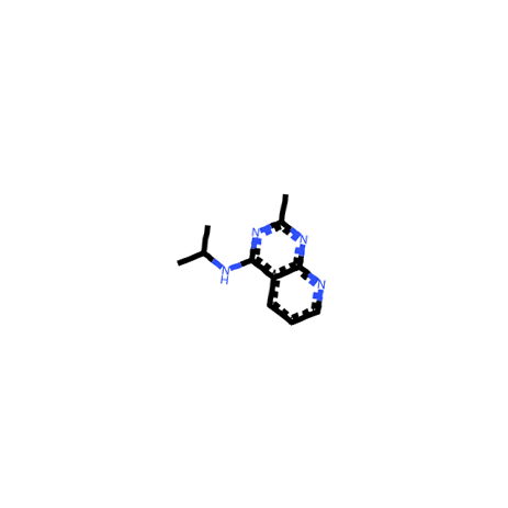 Cc1nc(NC(C)C)c2cccnc2n1